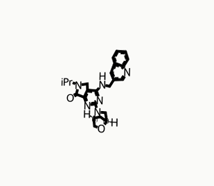 CC(C)N1Cc2c(NCc3cnc4ccccc4c3)nc(N3C[C@@H]4C[C@H]3CO4)nc2C1=O